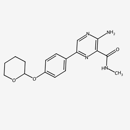 CNC(=O)c1nc(-c2ccc(OC3CCCCO3)cc2)cnc1N